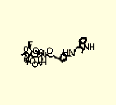 CC(=O)O[C@H]1[C@@H](OC(C)=O)[C@@H](CF)O[C@@H](ONC(=O)CCCc2ccc(CNCCc3c(C)[nH]c4ccccc34)cc2)[C@@H]1OC(C)=O